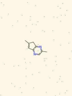 CC1=Cc2ncc(C)nc2C1